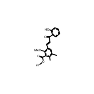 COc1c(C=CC(=O)c2ccccc2O)cc(C)c(C)c1C(=O)OC(C)C